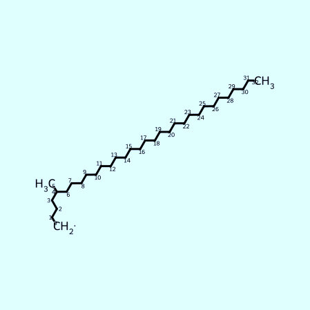 [CH2]CCCC(C)CCCCCCCCCCCCCCCCCCCCCCCCCCC